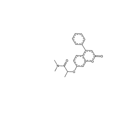 CC(Oc1ccc2c(-c3ccccc3)cc(=O)oc2c1)C(=O)N(C)C